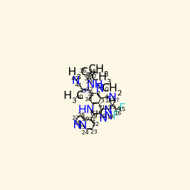 C=Nc1c(C#N)cc(N[C@H](c2cn(C3(C(F)F)CC3)nn2)c2cccn3nccc23)cc1/C(NCC(C)(C)C)=C(\C)C#N